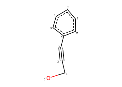 [O]CC#Cc1ccccc1